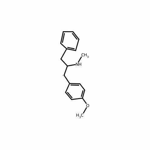 CNC([CH]c1ccc(OC)cc1)Cc1ccccc1